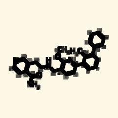 COc1nc(-c2cccc(-c3ccccc3)c2C)ccc1CNCCc1cnccc1C(N)=O